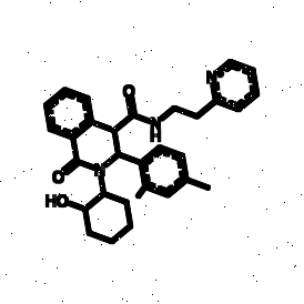 Cc1ccc(C2C(C(=O)NCCc3ccccn3)c3ccccc3C(=O)N2C2CCCCC2O)c(C)c1